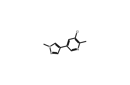 Cc1ncc(-c2cnn(C)c2)cc1Cl